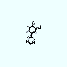 ClC1C=C(c2nncnn2)CCC1Cl